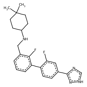 CC1(C)CCC(NCc2cccc(-c3ccc(-c4nc[nH]n4)cc3F)c2F)CC1